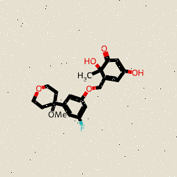 COC1(c2cc(F)cc(OCC3=CC(O)=CC(=O)C3(C)O)c2)CCOCC1